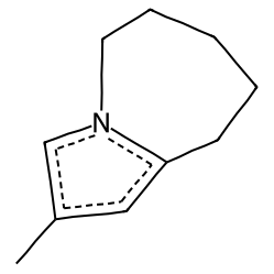 Cc1cc2n(c1)CCCCC2